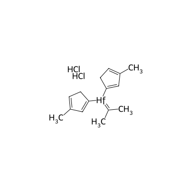 CC1=CC[C]([Hf]([C]2=CC(C)=CC2)=[C](C)C)=C1.Cl.Cl